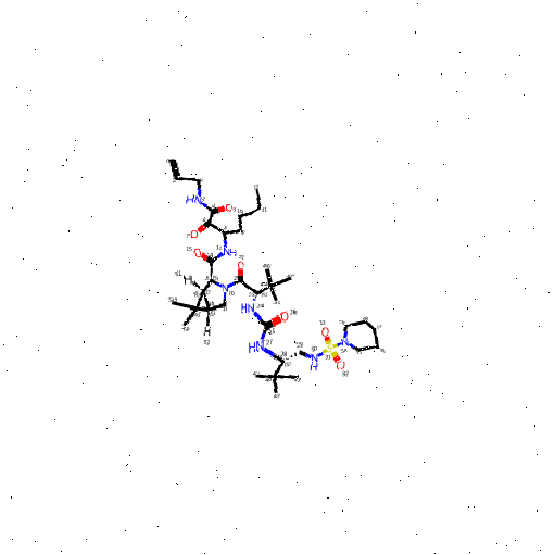 C=CCNC(=O)C(=O)C(CCCC)NC(=O)[C@@H]1[C@@H]2[C@H](CN1C(=O)[C@@H](NC(=O)N[C@H](CNS(=O)(=O)N1CCCCC1)C(C)(C)C)C(C)(C)C)C2(C)C